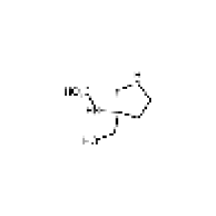 O=C(O)NC1(CO)CCNC1